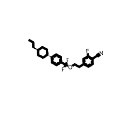 CCC[C@H]1CC[C@H](c2ccc(C(F)(F)OCCc3ccc(C#N)c(F)c3)cc2)CC1